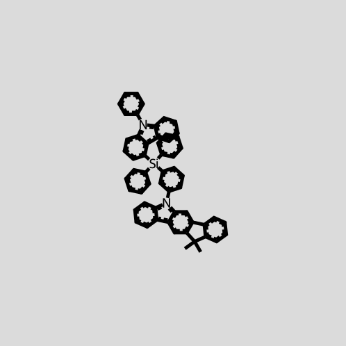 CC1(C)c2ccccc2-c2cc3c(cc21)c1ccccc1n3-c1cccc([Si](c2ccccc2)(c2ccccc2)c2cccc3c2c2ccccc2n3-c2ccccc2)c1